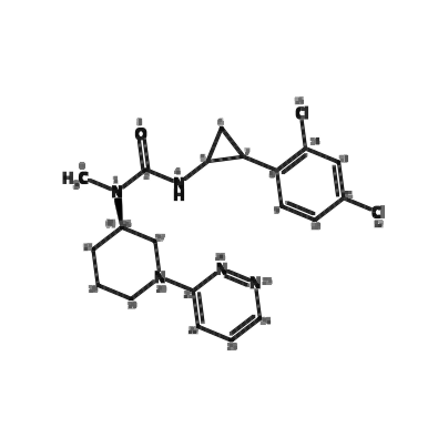 CN(C(=O)NC1CC1c1ccc(Cl)cc1Cl)[C@@H]1CCCN(c2cccnn2)C1